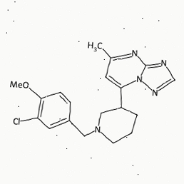 COc1ccc(CN2CCCC(c3cc(C)nc4ncnn34)C2)cc1Cl